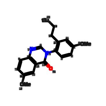 COc1ccc(-n2cnc3ccc(OC)cc3c2=O)c(CCC(C)(C)C)c1